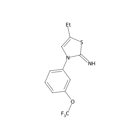 CCc1cn(-c2cccc(OC(F)(F)F)c2)c(=N)s1